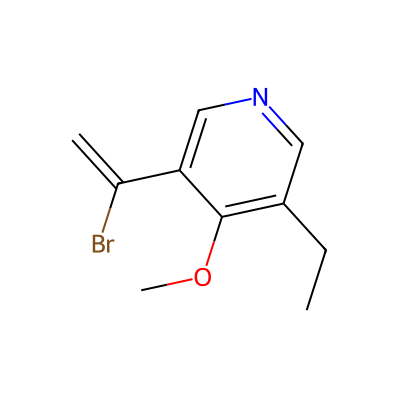 C=C(Br)c1cncc(CC)c1OC